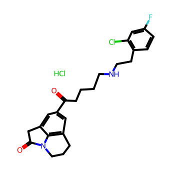 Cl.O=C(CCCCNCCc1ccc(F)cc1Cl)c1cc2c3c(c1)CC(=O)N3CCC2